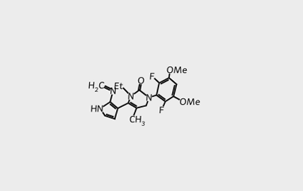 C=Nc1[nH]ccc1C1=C(C)CN(c2c(F)c(OC)cc(OC)c2F)C(=O)N1CC